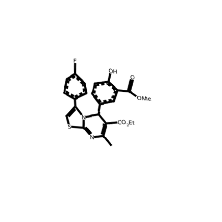 CCOC(=O)C1=C(C)N=C2SC=C(c3ccc(F)cc3)N2C1c1ccc(O)c(C(=O)OC)c1